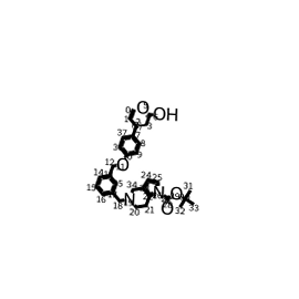 C=C[C@@H](CC(=O)O)c1ccc(OCc2cccc(CN3CCc4c(ccn4C(=O)OC(C)(C)C)C3)c2)cc1